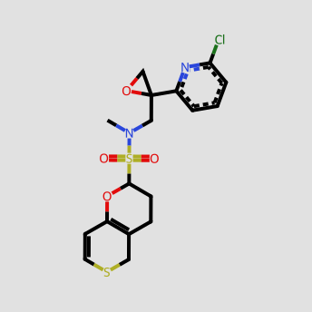 CN(CC1(c2cccc(Cl)n2)CO1)S(=O)(=O)C1CCC2=C(C=CSC2)O1